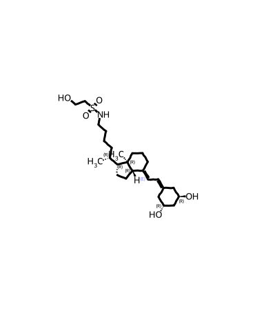 C[C@H](CCCCNS(=O)(=O)CCO)[C@H]1CC[C@H]2/C(=C/C=C3C[C@@H](O)C[C@H](O)C3)CCC[C@]12C